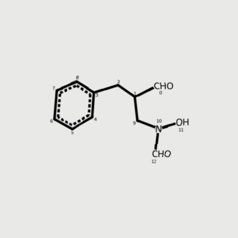 O=CC(Cc1ccccc1)CN(O)C=O